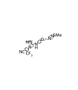 C=N/C=N\C1=C(CNc2ccc(OCCCN3CCN(SC)CC3)cc2)CCN(c2ccc(C#N)c(C(F)(F)F)c2)C1